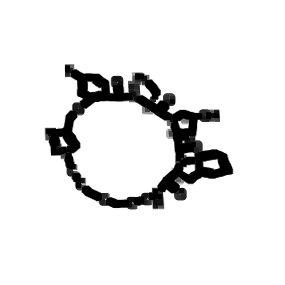 CC(C)C[C@H]1NC(=O)c2ccc(F)cc2OCc2cn(nn2)CCCCCCCNC(=O)[C@H](Cc2ccccc2)N(C)C(=O)[C@H]2C[C@H](O)CN2C1=O